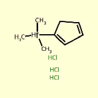 Cl.Cl.Cl.[CH3][Hf]([CH3])([CH3])[C]1=CC=CC1